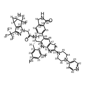 O=C(Cn1nc(C(F)(F)F)c2c1C(F)(F)[C@@H]1CC21)N[C@@H](Cc1cc(F)cc(F)c1)c1nc2nc(N3CCN(c4ccncc4)CC3)sc2cc1-c1ccc2c(c1)C(=O)NC2